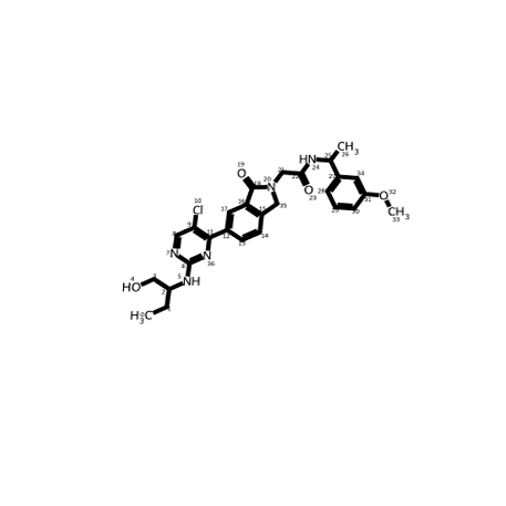 CCC(CO)Nc1ncc(Cl)c(-c2ccc3c(c2)C(=O)N(CC(=O)NC(C)c2cccc(OC)c2)C3)n1